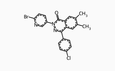 Cc1cc2c(-c3ccc(Cl)cc3)nn(-c3ccc(Br)nc3)c(=O)c2cc1C